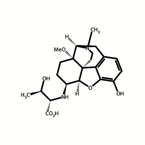 CO[C@@]12CC[C@H](N[C@H](C(=O)O)[C@@H](C)O)[C@@H]3Oc4c(O)ccc5c4[C@@]31CCN(C)[C@@H]2C5